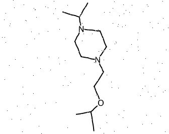 CC(C)OCCN1CCN(C(C)C)CC1